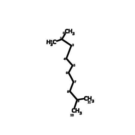 C[C](C)CCCCCCC(C)C